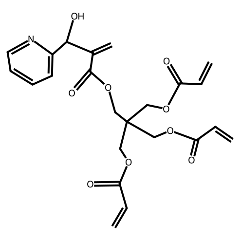 C=CC(=O)OCC(COC(=O)C=C)(COC(=O)C=C)COC(=O)C(=C)C(O)c1ccccn1